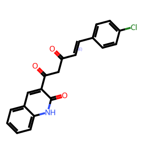 O=C(/C=C/c1ccc(Cl)cc1)CC(=O)c1cc2ccccc2[nH]c1=O